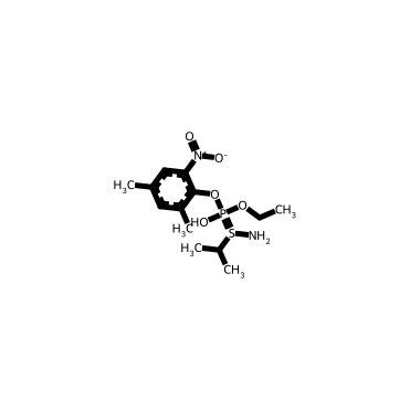 CCOP(O)(Oc1c(C)cc(C)cc1[N+](=O)[O-])=S(N)C(C)C